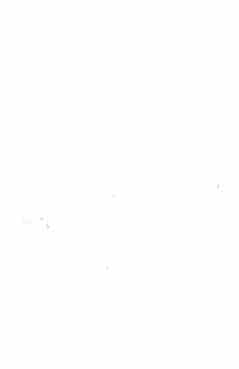 COC(N)=O.COc1ccc(C)cc1